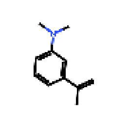 C=C(C)c1cccc(N(C)C)c1